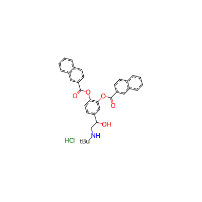 CC(C)(C)NCC(O)c1ccc(OC(=O)c2ccc3ccccc3c2)c(OC(=O)c2ccc3ccccc3c2)c1.Cl